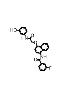 O=C(COc1ccc(NC(=O)c2cccc(F)c2)c2ccccc12)Nc1cccc(O)c1